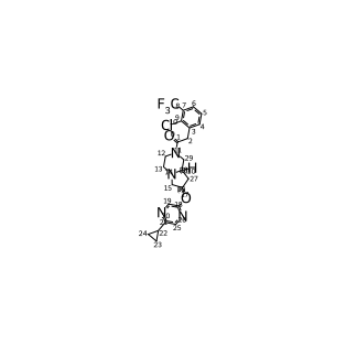 O=C(Cc1cccc(C(F)(F)F)c1Cl)N1CCN2C[C@H](Oc3cnc(C4CC4)cn3)C[C@H]2C1